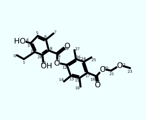 CCc1c(O)cc(C)c(C(=O)Oc2c(C)c(C)c(C(=O)OCOC)c(C)c2C)c1O